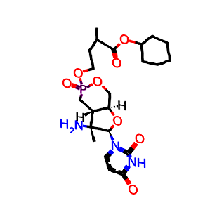 CC(CCOP1(=O)C[C@@H]2[C@@H](CO1)O[C@@H](n1ccc(=O)[nH]c1=O)[C@]2(C)N)C(=O)OC1CCCCC1